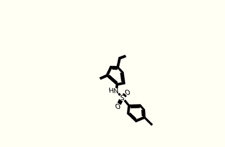 CCc1ccc(NS(=O)(=O)c2ccc(C)cc2)c(C)c1